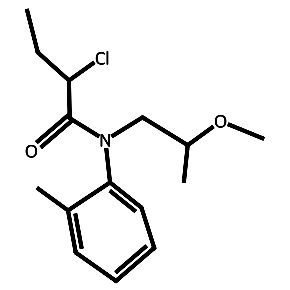 CCC(Cl)C(=O)N(CC(C)OC)c1ccccc1C